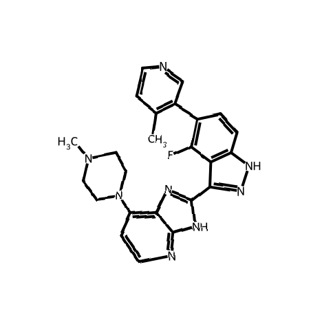 Cc1ccncc1-c1ccc2[nH]nc(-c3nc4c(N5CCN(C)CC5)ccnc4[nH]3)c2c1F